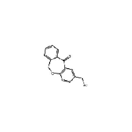 CC(=O)Cc1ccc2c(c1)C(=O)c1ccccc1CO2